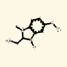 CCN1c2cc(OC(F)(F)F)ccc2N(C)C1CN